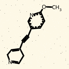 COc1ccc(C#CC2=CCN=CC2)cn1